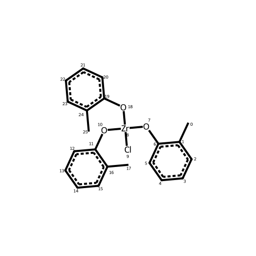 Cc1ccccc1[O][Zr]([Cl])([O]c1ccccc1C)[O]c1ccccc1C